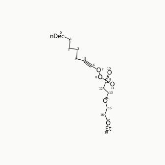 CCCCCCCCCCCCCCC#COOS(=O)(=O)CCOCCOCC